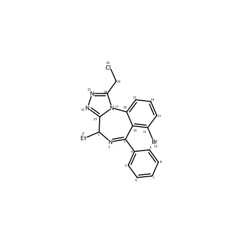 CCC1N=C(c2ccccc2)c2c(Br)cccc2-n2c(CCl)nnc21